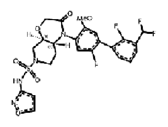 COc1cc(-c2cccc(C(F)F)c2F)c(F)cc1N1C(=O)CO[C@@H]2CN(S(=O)(=O)Nc3ccon3)CC[C@H]21